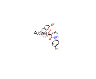 C/C(C(=O)Nc1ccc(Br)cc1)=C(/O)[C@@H]1Oc2c(O)ccc3c2[C@@]12CCN(CC1CC1)[C@H](C3)[C@@]2(C)O